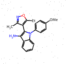 CCc1onc(C)c1-c1c(N)c2ccccc2n1-c1ccc(OC)cc1